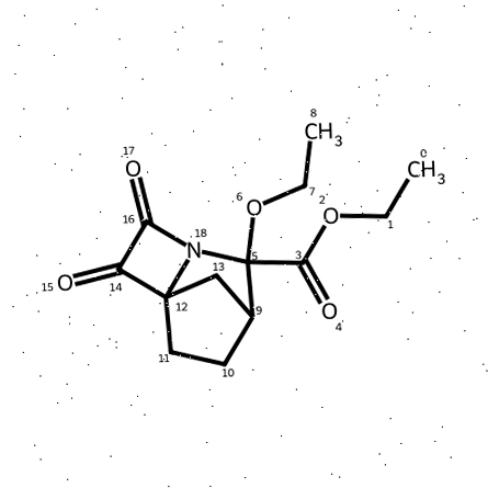 CCOC(=O)C1(OCC)C2CCC3(C2)C(=O)C(=O)N31